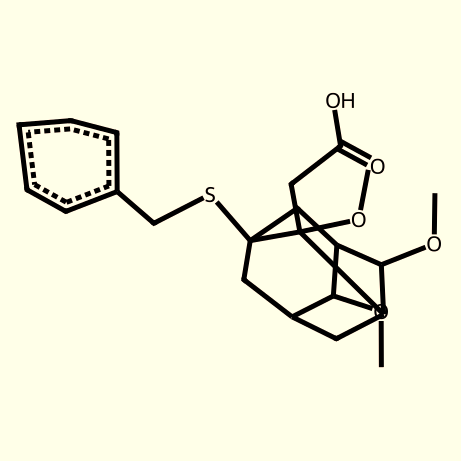 COC1C2CC3C(OC)C1CC(SCc1ccccc1)(C2)C3(CC(=O)O)OC